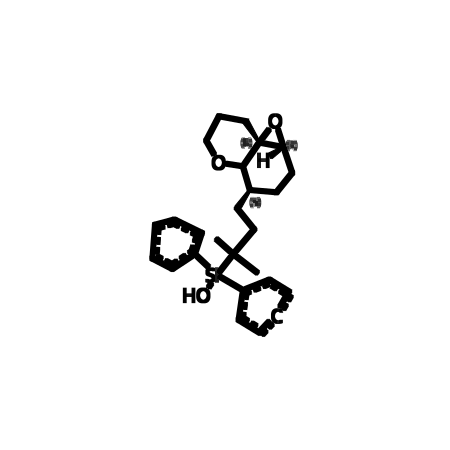 CC(C)(CC[C@@H]1CC[C@H]2O[C@]23CCCOC13)[Si](O)(c1ccccc1)c1ccccc1